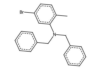 Cc1ccc(Br)cc1N(Cc1ccccc1)Cc1ccccc1